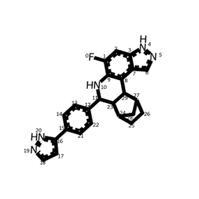 Fc1cc2[nH]ncc2c2c1NC(c1ccc(-c3ccn[nH]3)cc1)C1C3CCC(C3)C21